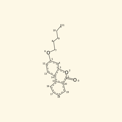 O=c1oc2cc(OCCCCI)ccc2c2ccccc12